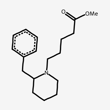 COC(=O)CCCCN1CCCCC1Cc1ccccc1